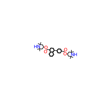 CC1(C)CC(OC(=O)c2ccc(-c3ccc(C(=O)OC4CC(C)(C)NC(C)(C)C4)c4ccccc34)cc2)CC(C)(C)N1